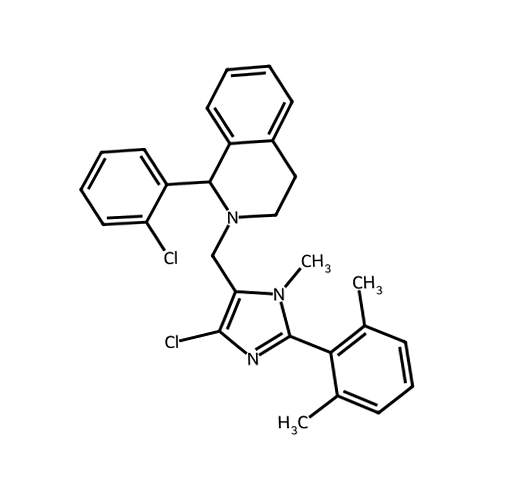 Cc1cccc(C)c1-c1nc(Cl)c(CN2CCc3ccccc3C2c2ccccc2Cl)n1C